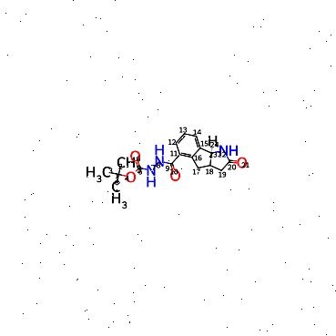 CC(C)(C)OC(=O)NNC(=O)c1cccc2c1CC1CC(=O)N[C@H]21